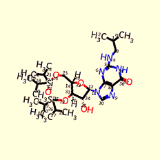 CC(C)CNc1nc2c(ncn2[C@@H]2O[C@H]3CO[Si](C(C)C)(C(C)C)O[Si](C(C)C)(C(C)C)O[C@@H]3[C@H]2O)c(=O)[nH]1